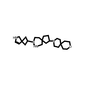 C1=CC2(CN1)CC(N1CCC3(CCC(N4CCC5(CCOCC5)CC4)C3)CNC1)C2